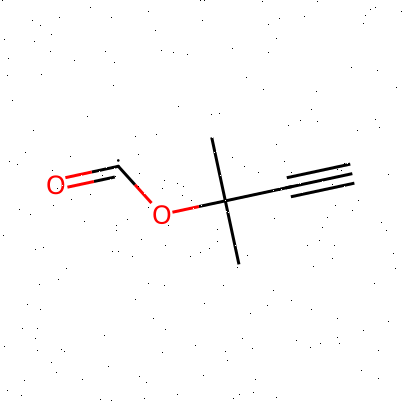 C#CC(C)(C)O[C]=O